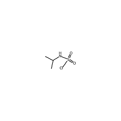 CC(C)NS(=O)(=O)Cl